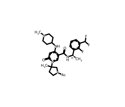 CC(=O)N1CCC(C)(n2cc(C(=O)N[C@H](C)c3cccc(C(F)F)c3F)c(NC3CCN(C)CC3)cc2=O)C1